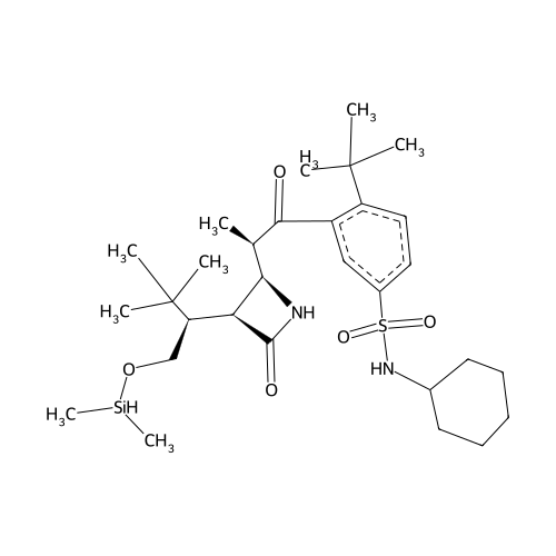 C[C@@H](C(=O)c1cc(S(=O)(=O)NC2CCCCC2)ccc1C(C)(C)C)[C@H]1NC(=O)[C@H]1[C@@H](CO[SiH](C)C)C(C)(C)C